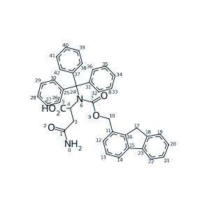 NC(=O)CC(C(=O)O)N(C(=O)OCc1cccc2c1Cc1ccccc1-2)C(c1ccccc1)(c1ccccc1)c1ccccc1